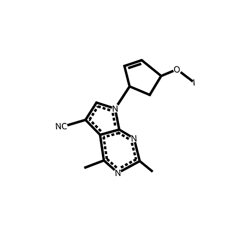 Cc1nc(C)c2c(C#N)cn(C3C=CC(OI)C3)c2n1